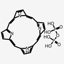 C1=Cc2cc3ccc(cc4nc(cc5ccc(cc1n2)[nH]5)C=C4)[nH]3.O=P(O)(O)OP(=O)(O)O